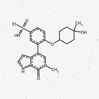 CCS(=N)(=O)c1ccc(OC2CCC(C)(O)CC2)c(-c2cn(C)c(=O)c3[nH]ccc23)c1